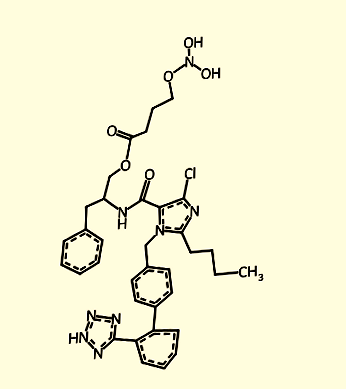 CCCCc1nc(Cl)c(C(=O)NC(COC(=O)CCCON(O)O)Cc2ccccc2)n1Cc1ccc(-c2ccccc2-c2nn[nH]n2)cc1